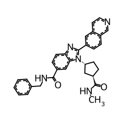 CNC(=O)[C@@H]1CC[C@@H](n2c(-c3ccc4cnccc4c3)nc3ccc(C(=O)NCc4ccccc4)cc32)C1